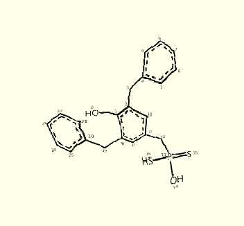 Oc1c(Cc2ccccc2)cc(CP(O)(=S)S)cc1Cc1ccccc1